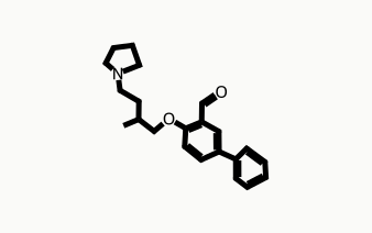 CC(CCN1CCCC1)COc1ccc(-c2ccccc2)cc1C=O